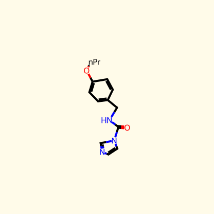 CCCOc1ccc(CNC(=O)n2ccnc2)cc1